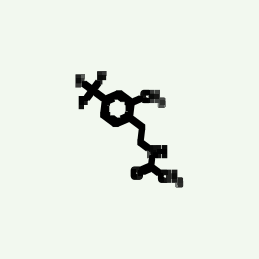 CC(=O)NCCc1ccc(C(F)(F)F)cc1C